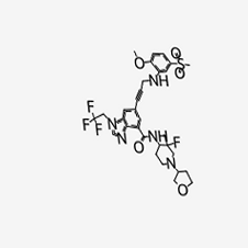 COc1ccc(S(C)(=O)=O)cc1NCC#Cc1cc(C(=O)NC2CCN(C3CCOC3)CC2(C)F)c2ncn(CC(F)(F)F)c2c1